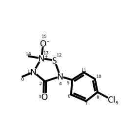 CN1C(=O)N(c2ccc(Cl)cc2)S[N+]1(C)[O-]